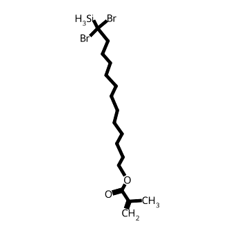 C=C(C)C(=O)OCCCCCCCCCCCCC([SiH3])(Br)Br